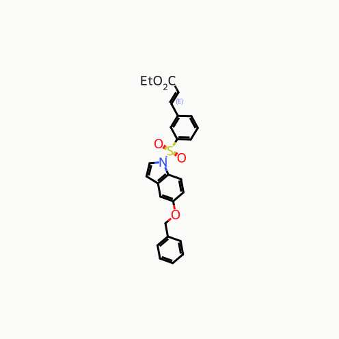 CCOC(=O)/C=C/c1cccc(S(=O)(=O)n2ccc3cc(OCc4ccccc4)ccc32)c1